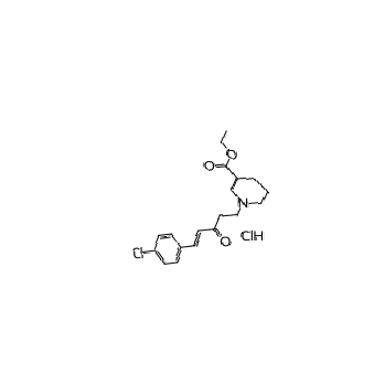 CCOC(=O)C1CCCN(CCC(=O)C=Cc2ccc(Cl)cc2)C1.Cl